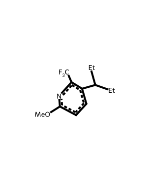 CCC(CC)c1ccc(OC)nc1C(F)(F)F